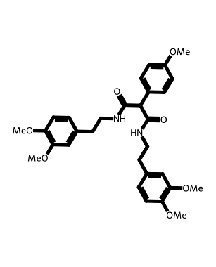 COc1ccc(C(C(=O)NCCc2ccc(OC)c(OC)c2)C(=O)NCCc2ccc(OC)c(OC)c2)cc1